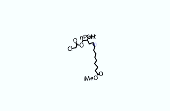 CCCCCC(OC(=O)CCl)C(O)C/C=C\CCCCCCCC(=O)OC